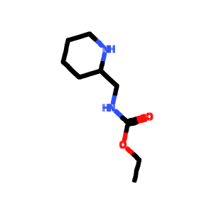 CCOC(=O)NCC1CCCCN1